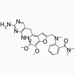 COc1cc(Cc2cnc(N)nc2N)c2cc(CN(C)c3ccccc3C(=O)N(C)C)oc2c1OC